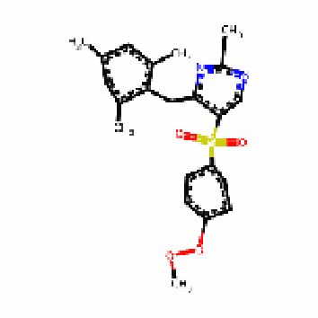 COOc1ccc(S(=O)(=O)c2cnc(C)nc2Cc2c(C)cc(C)cc2C)cc1